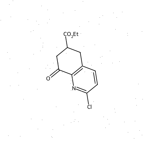 CCOC(=O)C1CC(=O)c2nc(Cl)ccc2C1